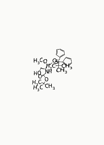 CO[C@@H](CO[Si](c1ccccc1)(c1ccccc1)C(C)(C)C)[C@H](CO)NC(=O)OC(C)(C)C